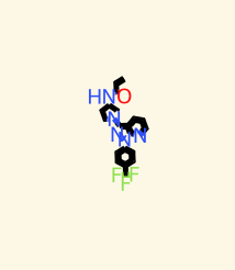 C=CC(=O)NC1CCN(c2nn(-c3ccc(C(F)(F)F)cc3)c3ncccc23)C1